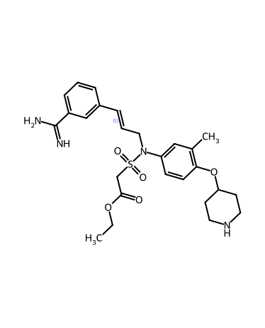 CCOC(=O)CS(=O)(=O)N(C/C=C/c1cccc(C(=N)N)c1)c1ccc(OC2CCNCC2)c(C)c1